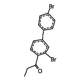 CCC(=O)c1ccc(-c2ccc(Br)cc2)cc1Br